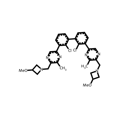 COC1CN(Cc2ncc(-c3cccc(-c4cccc(-c5cnc(CN6CC(OC)C6)c(C)n5)c4Cl)c3Cl)nc2C)C1